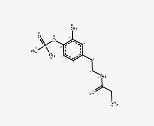 NCC(=O)NCCc1ccc(OP(=O)(O)O)c(O)c1